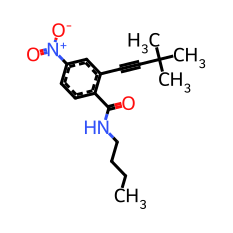 CCCCNC(=O)c1ccc([N+](=O)[O-])cc1C#CC(C)(C)C